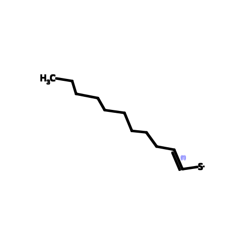 CCCCCCCCC/C=C/[S]